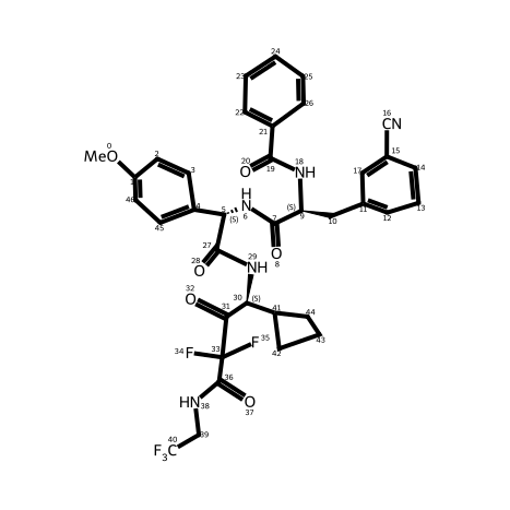 COc1ccc([C@H](NC(=O)[C@H](Cc2cccc(C#N)c2)NC(=O)c2ccccc2)C(=O)N[C@H](C(=O)C(F)(F)C(=O)NCC(F)(F)F)C2CCC2)cc1